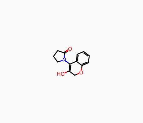 O=C1CCCN1C1=C(O)COc2ccccc21